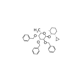 C[C@@H]1O[C@@H](O[C@@H]2[CH]CCC[C@@H]2C2CC2)[C@@H](OCc2ccccc2)[C@H](OCc2ccccc2)[C@@H]1OCc1ccccc1